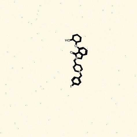 O=C1c2c(cccc2OC2CCCCC2O)CN1CC1CCN(Cc2ccc(F)cc2)CC1